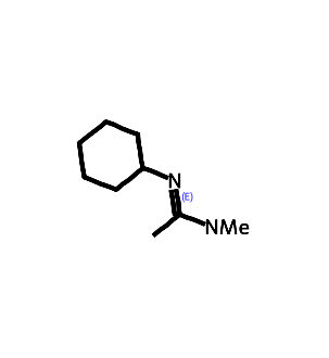 CN/C(C)=N/C1CCCCC1